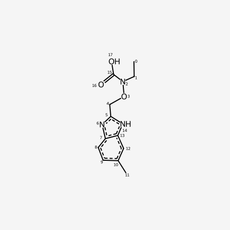 CCN(OCc1nc2ccc(C)cc2[nH]1)C(=O)O